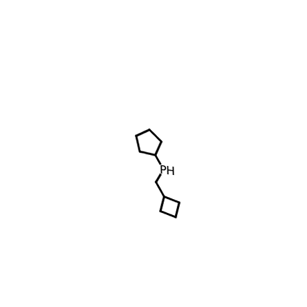 C1CC(CPC2CCCC2)C1